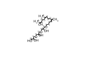 CC(=CCCCOCC(O)COCC(O)COCC(O)CO)CCCC(C)CCCC(C)C